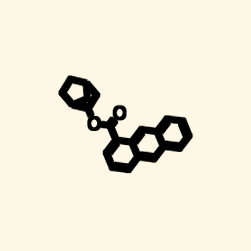 O=C(OC1=C2CCC(C2)C1)c1cccc2cc3ccccc3cc12